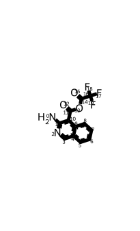 Nc1ncc2ccccc2c1C(=O)OC(=O)C(F)(F)F